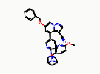 COc1ccc(CN2C3CC2CN(c2ccc(-c4cc(OCc5ccccc5)cn5ncc(C#N)c45)cn2)C3)cn1